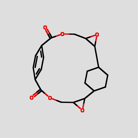 O=C1OCC2OC2C2CCC(CC2)C2OC2COC(=O)c2ccc1cc2